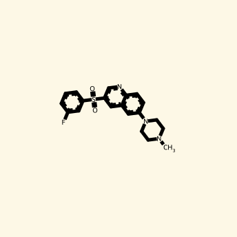 CN1CCN(c2ccc3ncc(S(=O)(=O)c4cccc(F)c4)cc3c2)CC1